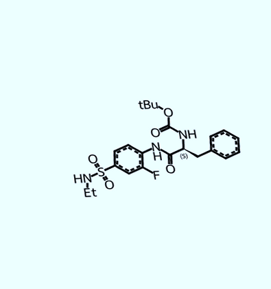 CCNS(=O)(=O)c1ccc(NC(=O)[C@H](Cc2ccccc2)NC(=O)OC(C)(C)C)c(F)c1